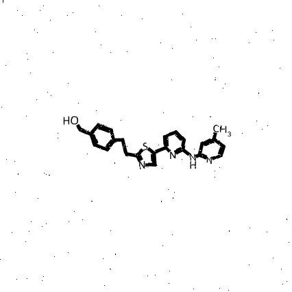 Cc1ccnc(Nc2cccc(-c3cnc(CCc4ccc(CO)cc4)s3)n2)c1